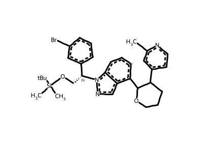 Cc1cc(C2CCCOC2c2[c]ccc3c2cnn3[C@H](CO[Si](C)(C)C(C)(C)C)c2cccc(Br)c2)ccn1